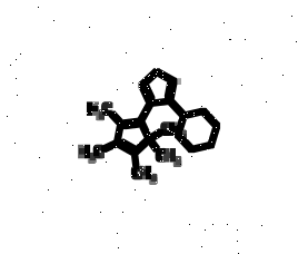 CC1=C(C)C(C)(C)C(C2=CC[C]=C2C2CCCCC2)=C1C